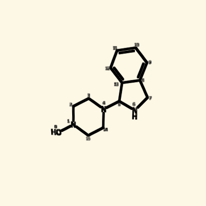 ON1CCN(C2NCc3ccccc32)CC1